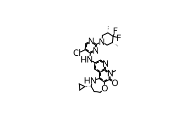 C[C@@H]1CN(c2ncc(Cl)c(Nc3cnc4c(c3)c3c(c(=O)n4C)OCC[C@H](C4CC4)N3)n2)C[C@H](C)C1(F)F